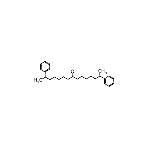 CC(CCCCCC(=O)CCCCCC(C)c1ccccc1)c1ccccc1